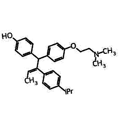 C/C=C(\c1ccc(C(C)C)cc1)C(c1ccc(O)cc1)c1ccc(OCCN(C)C)cc1